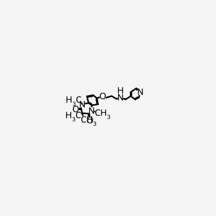 CN1C(=O)C(C)(C)C(=O)N(C)c2cc(OCCCNCc3ccncc3)ccc21